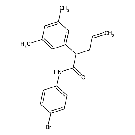 C=CCC(C(=O)Nc1ccc(Br)cc1)c1cc(C)cc(C)c1